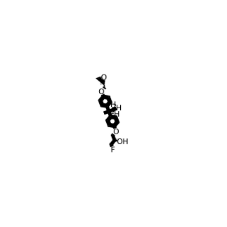 [2H]C([2H])([2H])C(C)(c1ccc(OC[C@@H](O)CF)cc1)c1ccc(OC[C@@H]2CO2)cc1